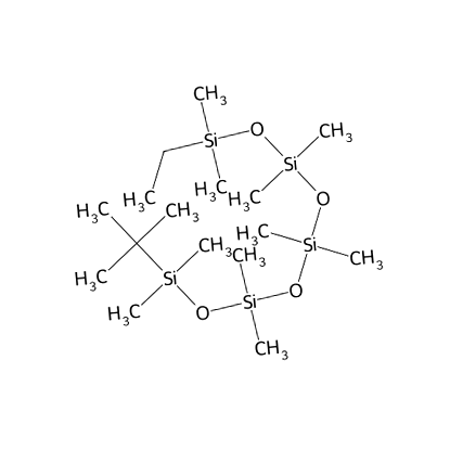 CC[Si](C)(C)O[Si](C)(C)O[Si](C)(C)O[Si](C)(C)O[Si](C)(C)C(C)(C)C